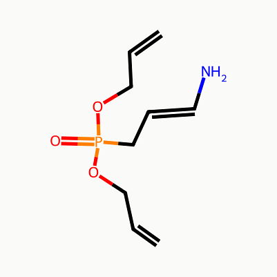 C=CCOP(=O)(CC=CN)OCC=C